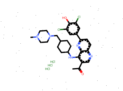 CC(=O)c1cnc2ccc(-c3cc(Cl)c(O)c(Cl)c3)nc2c1NC1CCC(CN2CCN(C)CC2)CC1.Cl.Cl.Cl